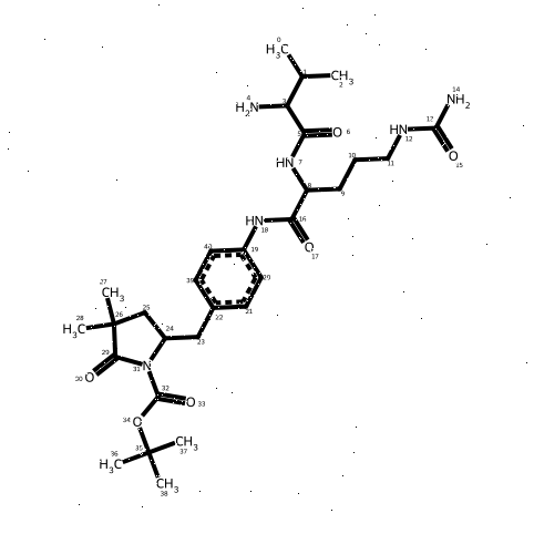 CC(C)C(N)C(=O)NC(CCCNC(N)=O)C(=O)Nc1ccc(CC2CC(C)(C)C(=O)N2C(=O)OC(C)(C)C)cc1